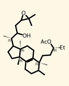 CC[C@H](CC[C@]1(C)C2=C(CCC1C)[C@]1(C)CCC([C@H](C)C(O)CC3OC3(C)C)[C@@]1(C)CC2)OC(C)=O